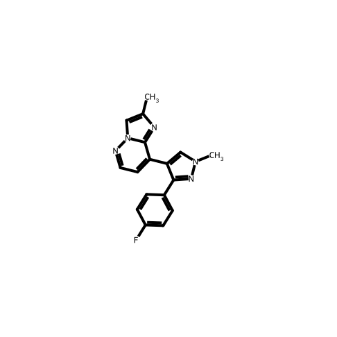 Cc1cn2nccc(-c3cn(C)nc3-c3ccc(F)cc3)c2n1